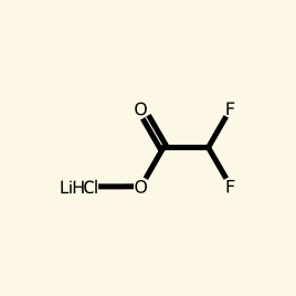 O=C(OCl)C(F)F.[LiH]